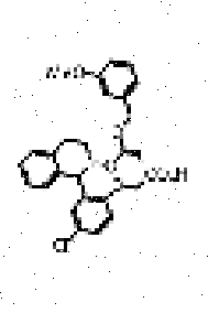 COc1cccc(COC(=O)ON2CCc3ccccc3C2c2cc(Cl)ccc2OCC(=O)O)c1